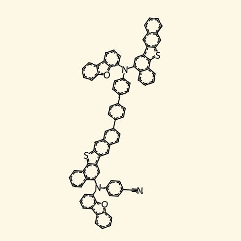 N#Cc1ccc(N(c2cc3c4cc5ccc(-c6ccc(-c7ccc(N(c8cc9c%10cc%11ccccc%11cc%10sc9c9ccccc89)c8cccc9c8oc8ccccc89)cc7)cc6)cc5cc4sc3c3ccccc23)c2cccc3c2oc2ccccc23)cc1